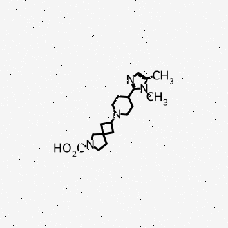 Cc1cnc(C2CCN(C3CC4(CCN(C(=O)O)C4)C3)CC2)n1C